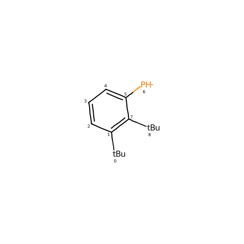 CC(C)(C)c1cccc([PH])c1C(C)(C)C